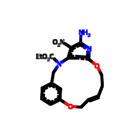 CCOC(=O)N1Cc2cccc(c2)OC/C=C/CCOc2cc1c([N+](=O)[O-])c(N)n2